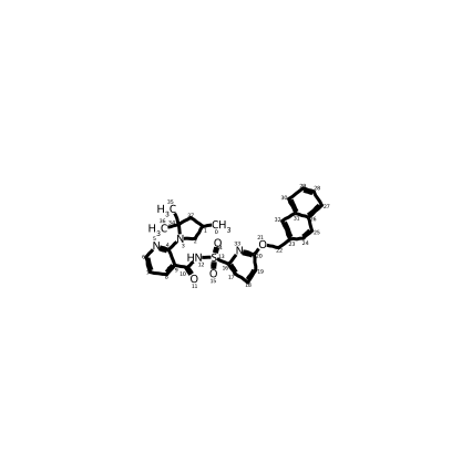 CC1CN(c2ncccc2C(=O)NS(=O)(=O)c2cccc(OCc3ccc4ccccc4c3)n2)C(C)(C)C1